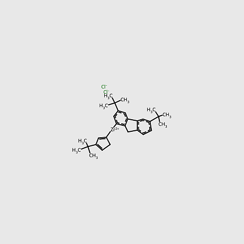 CC(C)(C)C1=CC[C]([Zr+2][c]2cc(C(C)(C)C)cc3c2Cc2ccc(C(C)(C)C)cc2-3)=C1.[Cl-].[Cl-]